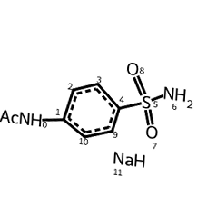 CC(=O)Nc1ccc(S(N)(=O)=O)cc1.[NaH]